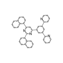 c1ccc(-c2cc(-c3ccccn3)cc(-c3cc(-c4cccc5ccccc45)nc(-c4cccc5ccccc45)n3)c2)nc1